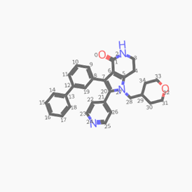 O=C1NCCc2c1c(-c1cccc(-c3ccccc3)c1)c(-c1ccncc1)n2CC1CCOCC1